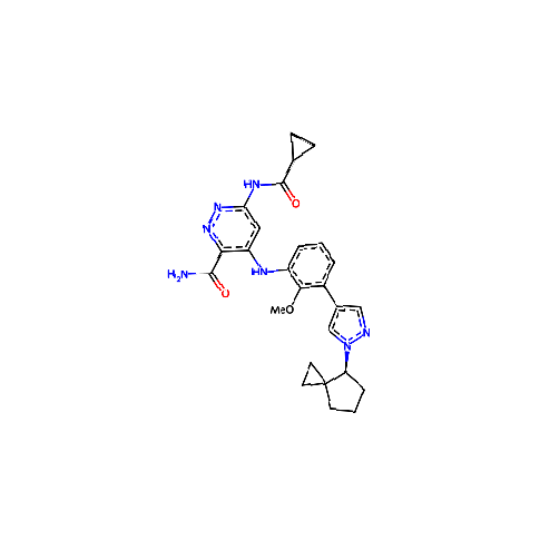 COc1c(Nc2cc(NC(=O)C3CC3)nnc2C(N)=O)cccc1-c1cnn([C@H]2CCCC23CC3)c1